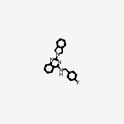 Fc1ccc(CNc2nc(N3Cc4ccccc4C3)nc3ccccc23)cc1